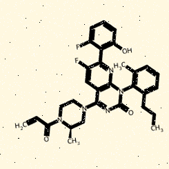 C=CC(=O)N1CCN(c2nc(=O)n(-c3c(C)cccc3CCC)c3nc(-c4c(O)cccc4F)c(F)cc23)C[C@H]1C